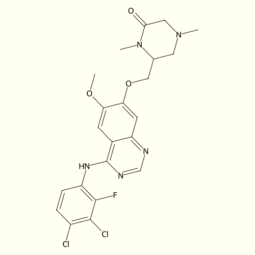 COc1cc2c(Nc3ccc(Cl)c(Cl)c3F)ncnc2cc1OCC1CN(C)CC(=O)N1C